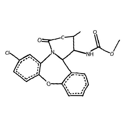 COC(=O)NC1C(C)CC(=O)N2c3cc(Cl)ccc3Oc3ccccc3C12